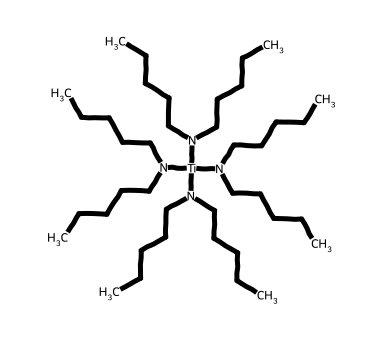 CCCCC[N](CCCCC)[Ti]([N](CCCCC)CCCCC)([N](CCCCC)CCCCC)[N](CCCCC)CCCCC